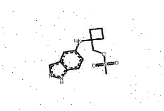 CS(=O)(=O)OCC1(Nc2ccc3[nH]ncc3c2)CCC1